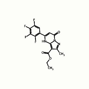 CCOC(=O)c1c(C)nn2c(=O)cc(-c3cc(F)c(F)c(F)c3F)[nH]c12